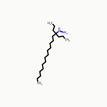 CCCCCCCCCCCCCCC(CCC)(CCC)NN